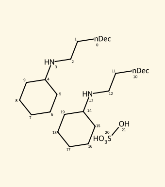 CCCCCCCCCCCCNC1CCCCC1.CCCCCCCCCCCCNC1CCCCC1.O=S(=O)(O)O